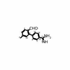 Cc1ccc([C]=O)c(-c2ccc(C(=N)N)cc2)c1